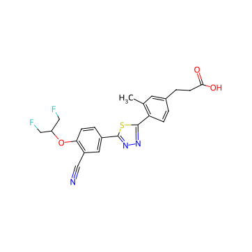 Cc1cc(CCC(=O)O)ccc1-c1nnc(-c2ccc(OC(CF)CF)c(C#N)c2)s1